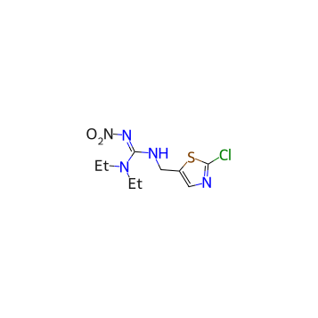 CCN(CC)/C(=N\[N+](=O)[O-])NCc1cnc(Cl)s1